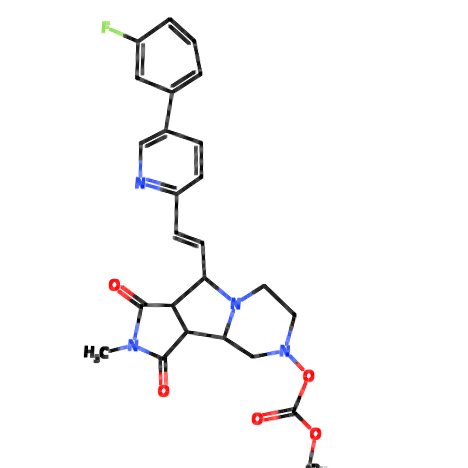 CN1C(=O)C2C(C1=O)C1CN(OC(=O)OC(C)(C)C)CCN1C2/C=C/c1ccc(-c2cccc(F)c2)cn1